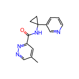 Cc1cnnc(C(=O)NC2(c3cccnc3)CC2)c1